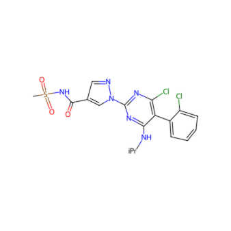 CC(C)Nc1nc(-n2cc(C(=O)NS(C)(=O)=O)cn2)nc(Cl)c1-c1ccccc1Cl